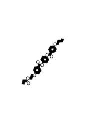 C=CC(=O)OCCOc1ccc(C(=O)Oc2ccc(OC(=O)c3ccc(OCCCC)cc3)cc2)cc1